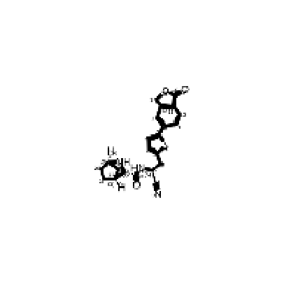 N#C[C@H](Cc1ccc(-c2ccc3c(c2)COC3=O)s1)NC(=O)[C@H]1N[C@@H]2CC[C@H]1C2